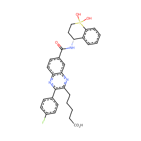 O=C(O)CCCCc1nc2cc(C(=O)N[C@@H]3CCS(O)(O)c4ccccc43)ccc2nc1-c1ccc(F)cc1